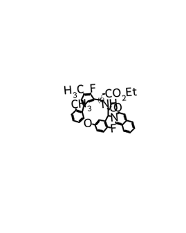 CCOC(=O)C[C@@H]1NC(=O)C(n2cc3ccccc3cc2=O)c2cc(ccc2F)Oc2cccc(C)c2-c2cc(C)c(F)c1c2